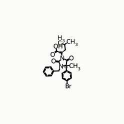 CC(C)C[C@H](C(=O)O)N1C(=O)N(Cc2ccccc2)[C@@](C)(c2ccc(Br)cc2)C1=O